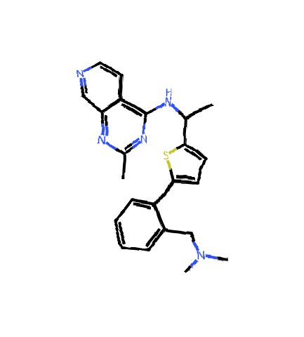 Cc1nc(NC(C)c2ccc(-c3ccccc3CN(C)C)s2)c2ccncc2n1